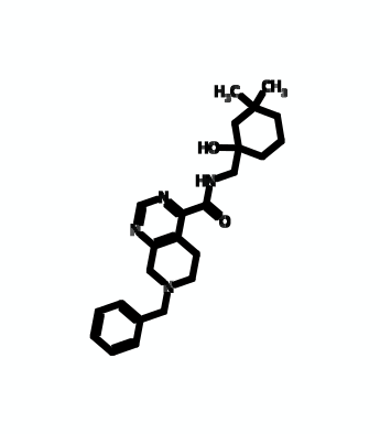 CC1(C)CCCC(O)(CNC(=O)c2ncnc3c2CCN(Cc2ccccc2)C3)C1